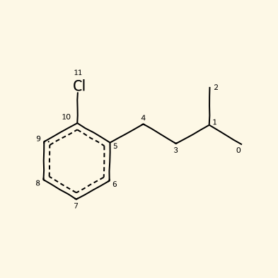 CC(C)CCc1ccc[c]c1Cl